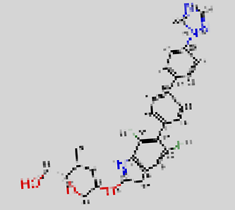 C[C@H]1C[C@@H](OC2=Nc3c(cc(F)c(-c4ccc(-c5ccc(-n6cncn6)cc5)cc4)c3F)C2)CO[C@@H]1CO